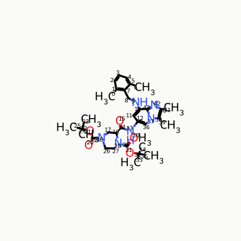 Cc1cccc(C)c1CNc1cc(NC(=O)[C@@H]2CN(C(=O)OC(C)(C)C)CCN2C(=O)OC(C)(C)C)cn2c(C)c(C)nc12